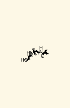 C=C(C)C(=O)NCCC(C)(C)NCCCO